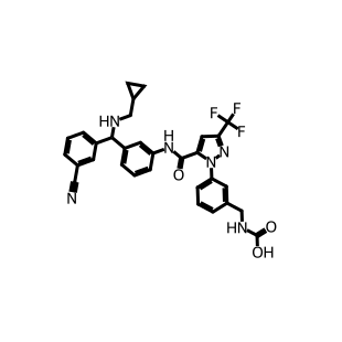 N#Cc1cccc(C(NCC2CC2)c2cccc(NC(=O)c3cc(C(F)(F)F)nn3-c3cccc(CNC(=O)O)c3)c2)c1